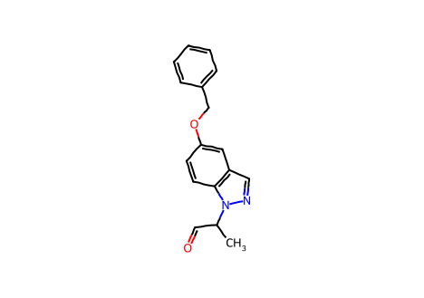 CC(C=O)n1ncc2cc(OCc3ccccc3)ccc21